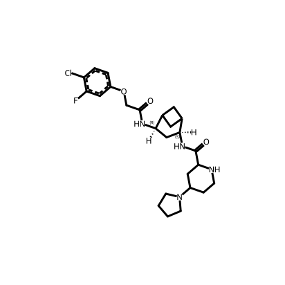 O=C(COc1ccc(Cl)c(F)c1)N[C@@H]1C[C@H](NC(=O)C2CC(N3CCCC3)CCN2)C2CC1C2